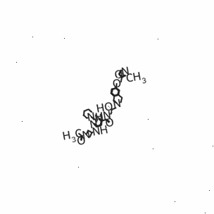 CC(=O)N1CC(Nc2cc(C(=O)NC[C@H](O)CN3CCc4cc(OCc5ocnc5C)ccc4C3)nc(N3CCCCC3)n2)C1